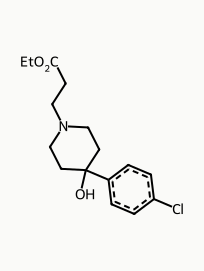 CCOC(=O)CCN1CCC(O)(c2ccc(Cl)cc2)CC1